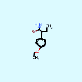 CCOc1ccc(C(CC)C(N)Br)cc1